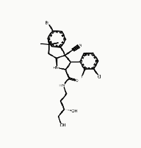 CC(C)(C)CC1NC(C(=O)NCC[C@H](O)CO)C(c2cccc(Cl)c2F)C1(C#N)c1ccc(Br)cc1